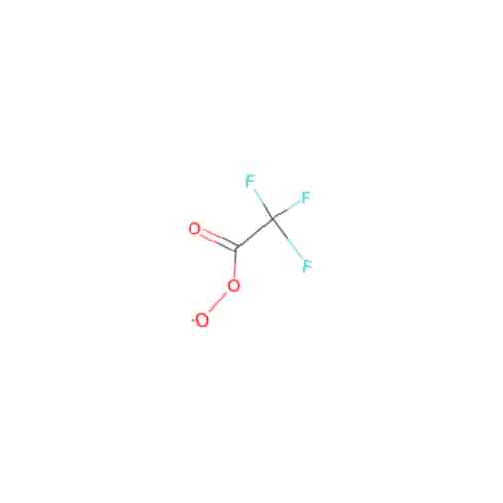 [O]OC(=O)C(F)(F)F